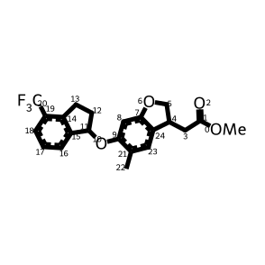 COC(=O)CC1COc2cc(OC3CCc4c3cccc4C(F)(F)F)c(C)cc21